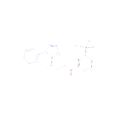 CC(CCC(=O)c1cc(Cl)cc(C2(C#N)CC2)c1)c1ncnn1-c1ncccn1